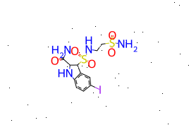 NC(=O)C1Nc2ccc(I)cc2C1S(=O)(=O)NCCS(N)(=O)=O